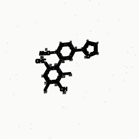 COc1ccc(-c2ccco2)cc1-c1c(C=O)cc(C)c(O)c1C